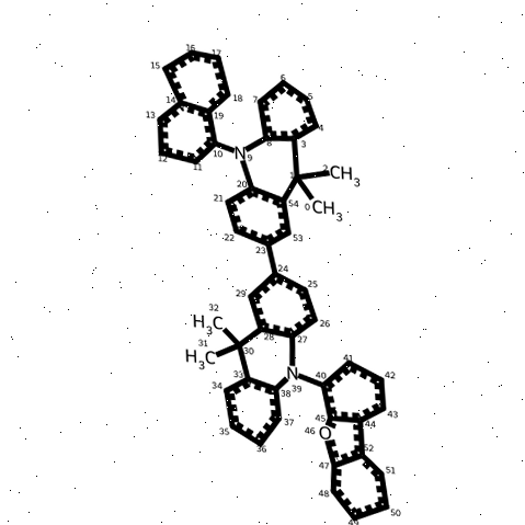 CC1(C)c2ccccc2N(c2cccc3ccccc23)c2ccc(-c3ccc4c(c3)C(C)(C)c3ccccc3N4c3cccc4c3oc3ccccc34)cc21